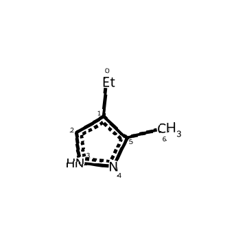 [CH2]Cc1c[nH]nc1C